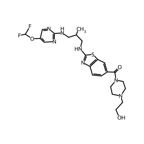 CC(CNc1ncc(OC(F)F)cn1)CNc1nc2ccc(C(=O)N3CCN(CCO)CC3)cc2s1